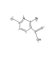 O=C(O)c1ccc(Cl)nc1Br